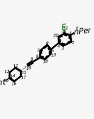 CCCCCc1ccc(-c2ccc(C#C[C@H]3CC[C@H](CCCCC)CC3)cc2)cc1F